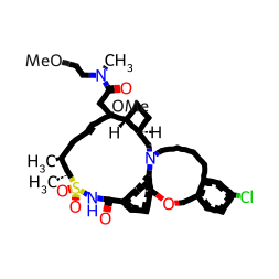 COCCN(C)C(=O)C[C@]1(OC)/C=C/C[C@H](C)[C@@H](C)S(=O)(=O)NC(=O)c2ccc3c(c2)N(CCCCc2cc(Cl)ccc2CO3)C[C@@H]2CC[C@H]21